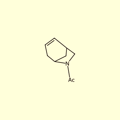 CC(=O)N1CC2C=CCC1C2